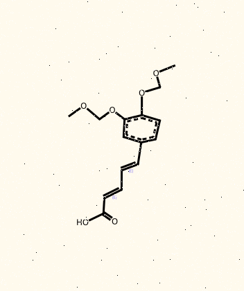 COCOc1ccc(/C=C/C=C/C(=O)O)cc1OCOC